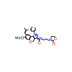 C/C=C\C(=C/C)n1nc(C(=O)NCCCN2CCOC2=O)c2c1-c1cc(C=C(C)C)c(OC)cc1OC2